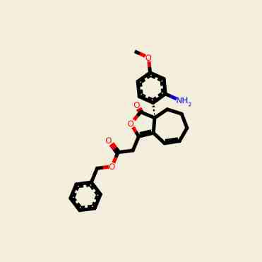 COc1ccc([C@]23CCCC=CC2=C(CC(=O)OCc2ccccc2)OC3=O)c(N)c1